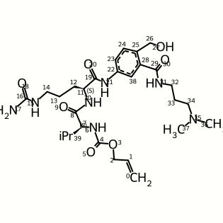 C=CCOC(=O)N[C@H](C(=O)N[C@@H](CCCNC(N)=O)C(=O)Nc1ccc(CO)c(C(=O)NCCCN(C)C)c1)C(C)C